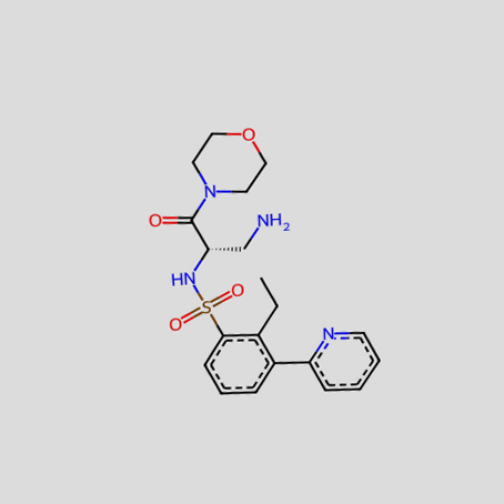 CCc1c(-c2ccccn2)cccc1S(=O)(=O)N[C@@H](CN)C(=O)N1CCOCC1